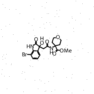 COC(=O)C1(NC(=O)CC2(O)C(=O)Nc3c(Br)cccc32)CCOCC1